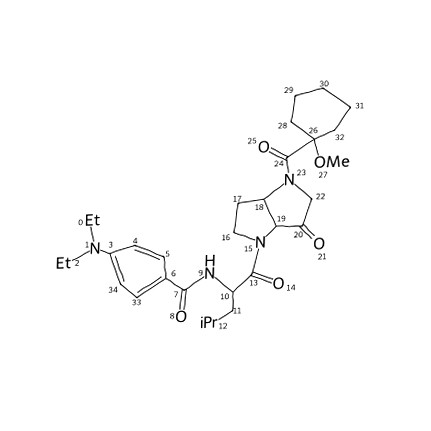 CCN(CC)c1ccc(C(=O)NC(CC(C)C)C(=O)N2CCC3C2C(=O)CN3C(=O)C2(OC)CCCCC2)cc1